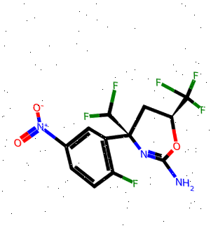 NC1=N[C@@](c2cc([N+](=O)[O-])ccc2F)(C(F)F)C[C@@H](C(F)(F)F)O1